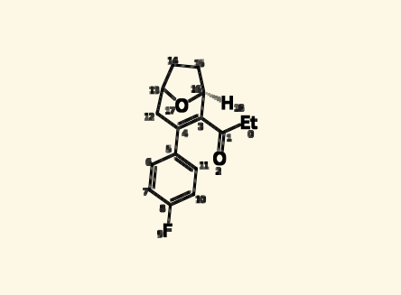 CCC(=O)C1=C(c2ccc(F)cc2)CC2CC[C@@H]1O2